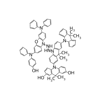 CC1(C)c2cc(N3c4ccccc4C(C)(C)c4ccccc43)ccc2N(NNN2c3ccc(N(c4ccccc4)c4ccccc4)cc3Oc3cc(N(c4ccccc4)c4ccc(O)cc4)ccc32)c2ccc(N3c4ccc(O)cc4C(C)(C)c4cc(O)ccc43)cc21